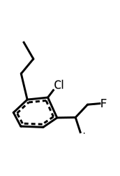 [CH2]C(CF)c1cccc(CCC)c1Cl